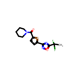 CC(F)(F)c1nc(-c2ccc(C(=O)N3CCCCC3)s2)no1